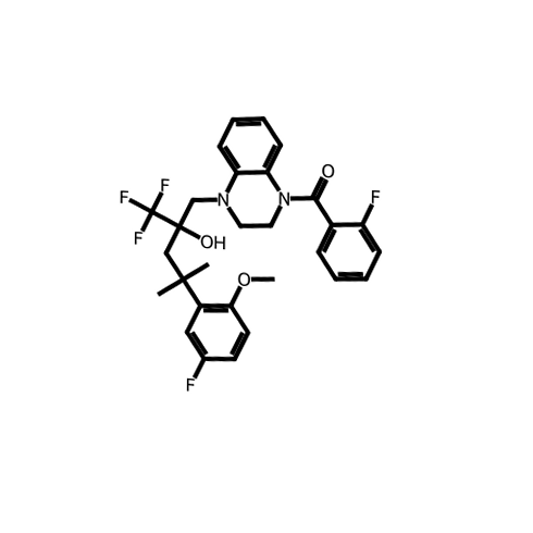 COc1ccc(F)cc1C(C)(C)CC(O)(CN1CCN(C(=O)c2ccccc2F)c2ccccc21)C(F)(F)F